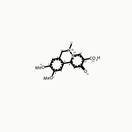 COc1cc2c(cc1OC)-c1cc(=O)c(C(=O)O)cn1N(C)C2